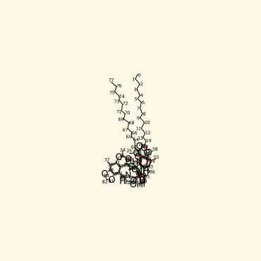 CCCCCCCCCCCCCCCC(=O)Oc1cc2c(cc1OC)[C@@]1(CS[C@@H]3c4c(OC(C)=O)c(C)c5c(c4[C@H](COC1=O)N1C3[C@H]3N[C@H](Cc4cc(C)c(OC)c(OC(=O)CCCCCCCCCCCCCCC)c43)[C@@H]1O)OCO5)NCC2